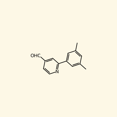 Cc1cc(C)cc(-c2cc(C=O)ccn2)c1